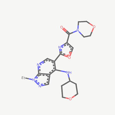 CCn1ncc2c(NC3CCOCC3)c(-c3nc(C(=O)N4CCOCC4)co3)cnc21